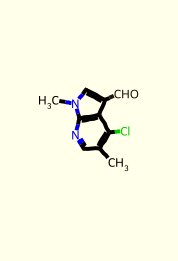 Cc1cnc2c(c(C=O)cn2C)c1Cl